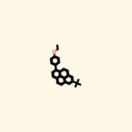 CCOc1ccc(-c2ccc3ccc4cc(C(C)(C)C)cc5ccc2c3c45)cc1